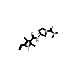 C=Cc1[nH]c(C)c(C(=O)N[C@H]2CCN(C(=O)N(C)C)C2)c1C